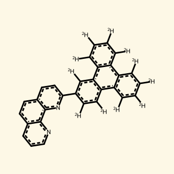 [2H]c1c([2H])c([2H])c2c(c1[2H])c1c([2H])c([2H])c([2H])c([2H])c1c1c([2H])c(-c3ccc4ccc5cccnc5c4n3)c([2H])c([2H])c21